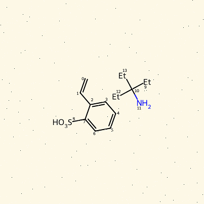 C=Cc1ccccc1S(=O)(=O)O.CCC(N)(CC)CC